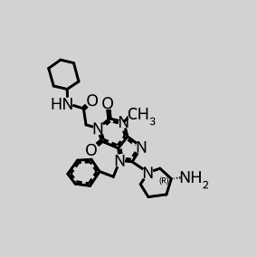 Cn1c(=O)n(CC(=O)NC2CCCCC2)c(=O)c2c1nc(N1CCC[C@@H](N)C1)n2Cc1ccccc1